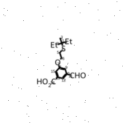 CCC(C)(CC)SCCOc1cc(C=O)cc(C(=O)O)c1